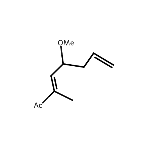 C=CCC(C=C(C)C(C)=O)OC